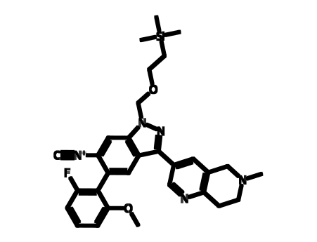 [C-]#[N+]c1cc2c(cc1-c1c(F)cccc1OC)c(-c1cnc3c(c1)CN(C)CC3)nn2COCC[Si](C)(C)C